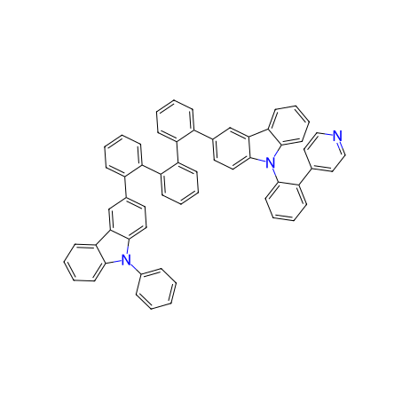 c1ccc(-n2c3ccccc3c3cc(-c4ccccc4-c4ccccc4-c4ccccc4-c4ccc5c(c4)c4ccccc4n5-c4ccccc4-c4ccncc4)ccc32)cc1